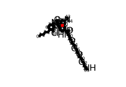 CCCCCc1ccc(N=S(=O)(Oc2ccc(C(=O)NCCOCCOCCOCCOCCNC)cc2)N2CC[C@H](N(C)C)C2)cc1Cl